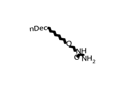 CCCCCCCCCCCCCCCCCCOCCCNC(=O)CN